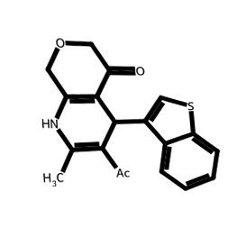 CC(=O)C1=C(C)NC2=C(C(=O)COC2)C1c1csc2ccccc12